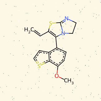 C=CC1=C(c2ccc(OC)c3sccc23)N2CCN=C2S1